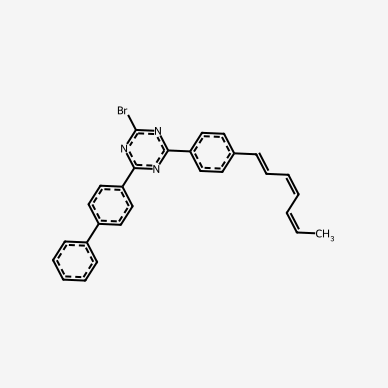 C\C=C/C=C\C=C\c1ccc(-c2nc(Br)nc(-c3ccc(-c4ccccc4)cc3)n2)cc1